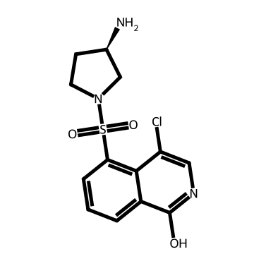 N[C@@H]1CCN(S(=O)(=O)c2cccc3c(O)ncc(Cl)c23)C1